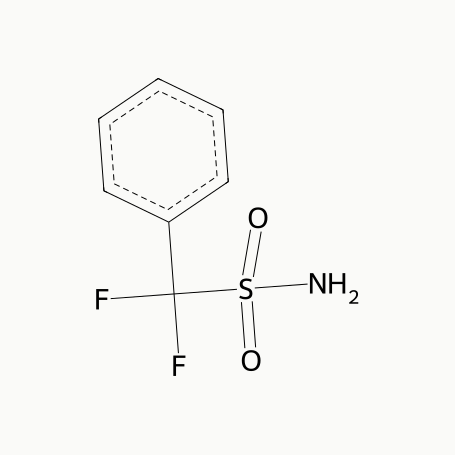 NS(=O)(=O)C(F)(F)c1ccccc1